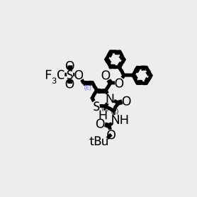 CC(C)(C)OC(=O)N[C@@H]1C(=O)N2C(C(=O)OC(c3ccccc3)c3ccccc3)=C(/C=C/OS(=O)(=O)C(F)(F)F)CS[C@H]12